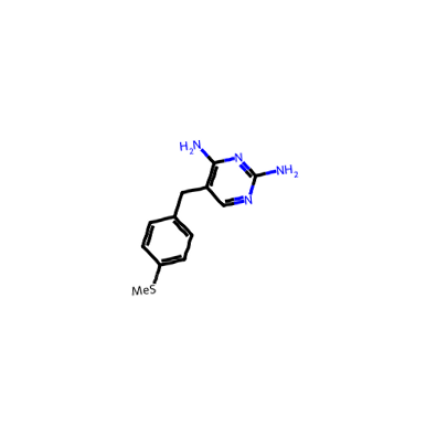 CSc1ccc(Cc2cnc(N)nc2N)cc1